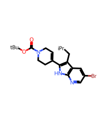 CC(C)Cc1c(C2=CCN(C(=O)OC(C)(C)C)CC2)[nH]c2ncc(Br)cc12